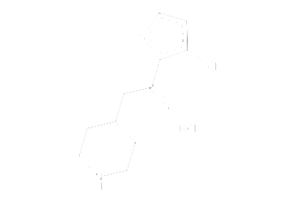 Cl.O=C(CC1CCNCC1)c1sccc1Cl